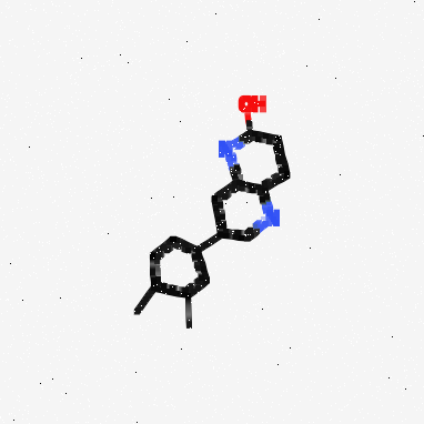 Cc1ccc(-c2cnc3ccc(O)nc3c2)cc1C